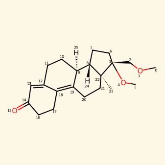 COC[C@]1(OC)CC[C@H]2[C@@H]3CCC4=CC(=O)CCC4=C3CC[C@@]21C